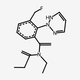 C=C(CC)N(CC)C(=C)c1cccc(CF)c1N1N=CC=CN1